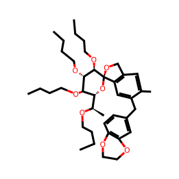 CCCCO[C@H]1[C@H](OCCCC)[C@@H](OCCCC)[C@@]2(OCc3cc(C)c(Cc4ccc5c(c4)OCCO5)cc32)O[C@@H]1[C@@H](C)OCCCC